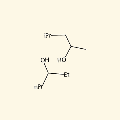 CC(C)CC(C)O.CCCC(O)CC